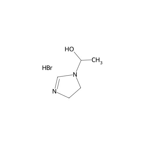 Br.CC(O)N1C=NCC1